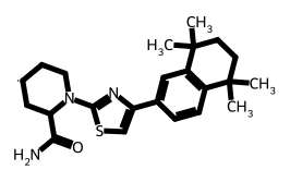 CC1(C)CCC(C)(C)c2cc(-c3csc(N4CC[CH]CC4C(N)=O)n3)ccc21